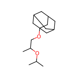 CC(C)OC(C)COC12CC3CC(CC(C3)C1)C2